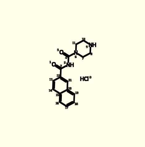 Cl.O=C(NC(=O)N1CCNCC1)c1ccc2ccccc2c1